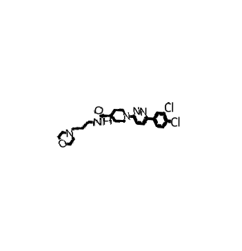 O=C(NCCCN1CCOCC1)C1CCN(c2ccc(-c3ccc(Cl)c(Cl)c3)nn2)CC1